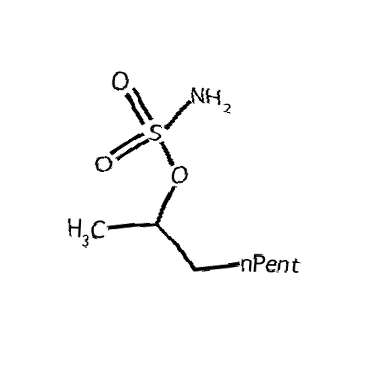 CCCCCCC(C)OS(N)(=O)=O